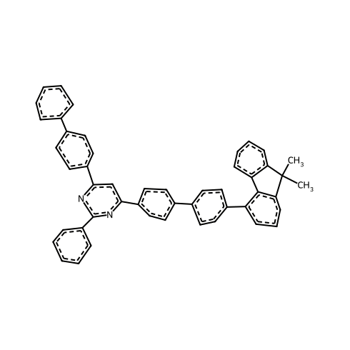 CC1(C)c2ccccc2-c2c(-c3ccc(-c4ccc(-c5cc(-c6ccc(-c7ccccc7)cc6)nc(-c6ccccc6)n5)cc4)cc3)cccc21